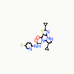 O=C(Cn1c(=O)c2sc(C3CC3)nc2n2ncc(C3CC3)c12)Nc1ccc(F)cn1